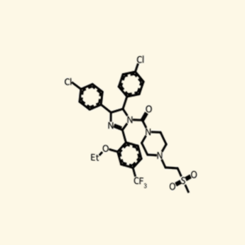 CCOc1cc(C(F)(F)F)ccc1C1=NC(c2ccc(Cl)cc2)C(c2ccc(Cl)cc2)N1C(=O)N1CCN(CCS(C)(=O)=O)CC1